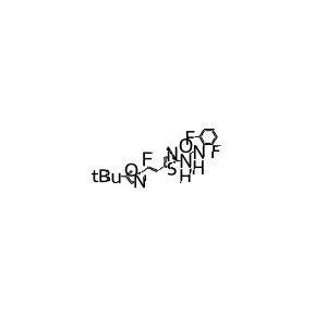 CC(C)(C)c1cnc(C(F)=Cc2cnc(NC(=O)Nc3c(F)cccc3F)s2)o1